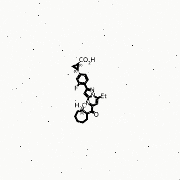 CCc1cc(C(=O)C2CCCCC[C@H]2C)nc2cc(-c3ccc([C@@H]4C[C@H]4C(=O)O)cc3F)nn12